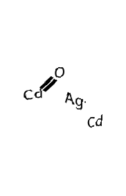 [Ag].[Cd].[O]=[Cd]